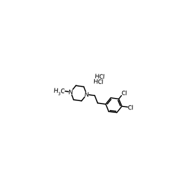 CN1CCN(CCc2ccc(Cl)c(Cl)c2)CC1.Cl.Cl